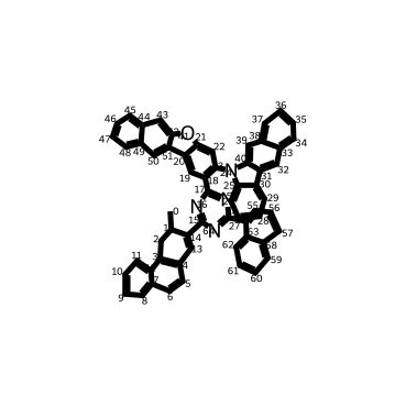 CC1Cc2c(ccc3ccccc23)C=C1c1nc(-c2cc3c(cc2-n2c4ccccc4c4cc5ccccc5cc42)oc2cc4ccccc4cc23)nc(-c2cccc3ccccc23)n1